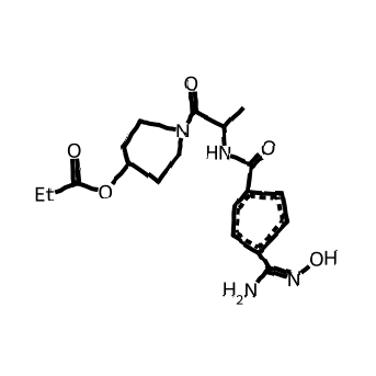 CCC(=O)OC1CCN(C(=O)C(C)NC(=O)c2ccc(/C(N)=N\O)cc2)CC1